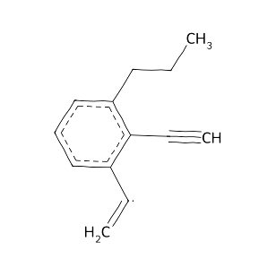 C#Cc1c([C]=C)cccc1CCC